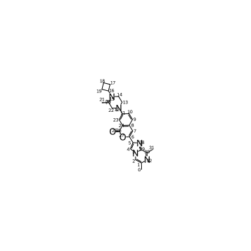 Cc1cn2cc(-c3cc4ccc(N5CCN(C6CCC6)[C@H](C)C5)cc4c(=O)o3)nc2c(C)n1